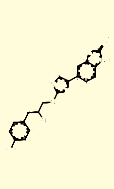 NC(CNc1ncc(-c2ccc3[nH]c(=O)oc3c2)s1)Cc1ccc(Cl)cc1